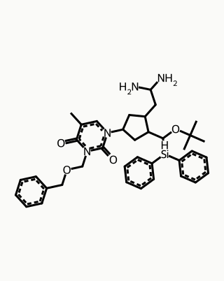 Cc1cn(C2CC(CC(N)N)C(C(OC(C)(C)C)[SiH](c3ccccc3)c3ccccc3)C2)c(=O)n(COCc2ccccc2)c1=O